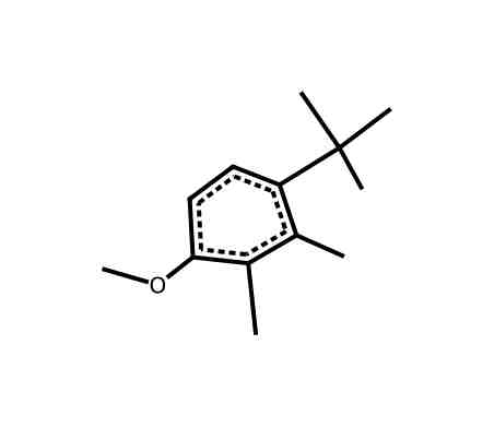 COc1ccc(C(C)(C)C)c(C)c1C